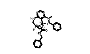 CN(Cc1ccccc1)c1ncnc2c1[C@@H]1OC[C@H](CN2)N1C(=O)NCc1ccccc1